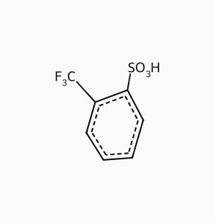 O=S(=O)(O)c1ccccc1C(F)(F)F